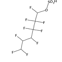 O=S(=O)(O)OC(F)C(F)(F)C(F)(F)C(F)C(F)C(F)F